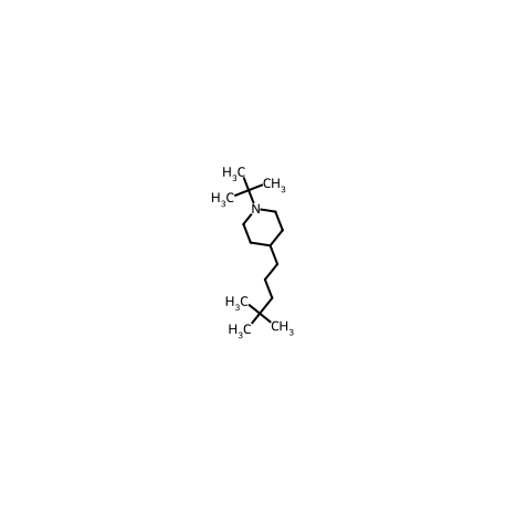 CC(C)(C)CCCC1CCN(C(C)(C)C)CC1